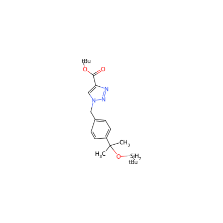 CC(C)(C)OC(=O)c1cn(Cc2ccc(C(C)(C)O[SiH2]C(C)(C)C)cc2)nn1